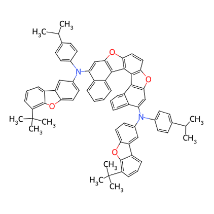 CC(C)c1ccc(N(c2ccc3oc4c(C(C)(C)C)cccc4c3c2)c2cc3oc4ccc5oc6cc(N(c7ccc(C(C)C)cc7)c7ccc8oc9c(C(C)(C)C)cccc9c8c7)c7ccccc7c6c5c4c3c3ccccc23)cc1